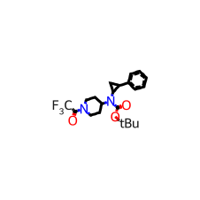 CC(C)(C)OC(=O)N(C1CCN(C(=O)C(F)(F)F)CC1)C1CC1c1ccccc1